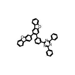 c1ccc(-c2nc(-c3ccccc3)nc(-c3cccc(-c4cc5oc6ccccc6c5cc4-c4ccc5c(c4)oc4ccccc45)c3)n2)cc1